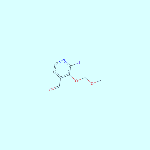 COCOc1c(C=O)ccnc1I